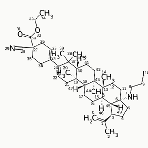 C=C(C)[C@@H]1CC[C@]2(NCCI)CC[C@]3(C)[C@H](CC[C@@H]4[C@@]5(C)CC=C(C6=CCC(C#N)(C(=O)OCC)CC6)C(C)(C)[C@@H]5CC[C@]43C)[C@@H]12